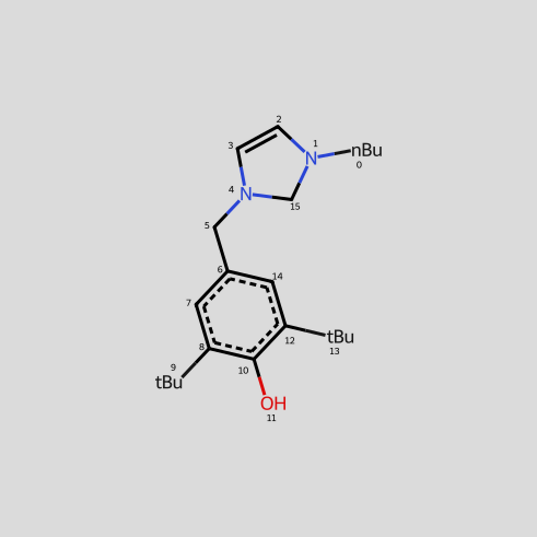 CCCCN1C=CN(Cc2cc(C(C)(C)C)c(O)c(C(C)(C)C)c2)C1